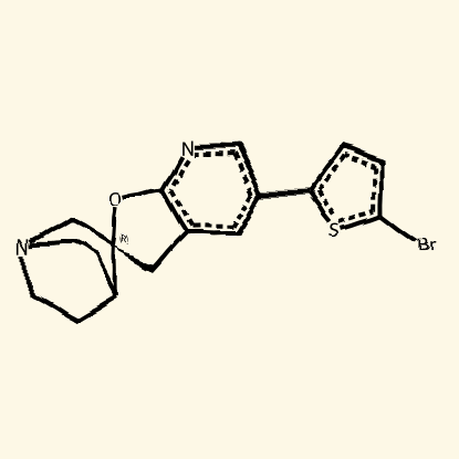 Brc1ccc(-c2cnc3c(c2)C[C@@]2(CN4CCC2CC4)O3)s1